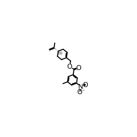 C=C(C)[C@@H]1CC=C(COC(=O)c2cc(C)cc([N+](=O)[O-])c2)CC1